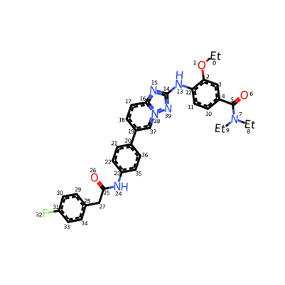 CCOc1cc(C(=O)N(CC)CC)ccc1Nc1nc2ccc(-c3ccc(NC(=O)Cc4ccc(F)cc4)cc3)cn2n1